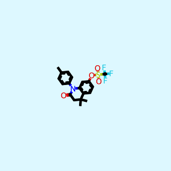 Cc1ccc(N2C(=O)CC(C)(C)c3ccc(OS(=O)(=O)C(F)(F)F)cc32)cc1